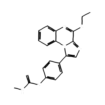 CCNC(=O)Nc1ccc(-c2cnc3c(NCC(C)C)nc4ccccc4n23)cc1